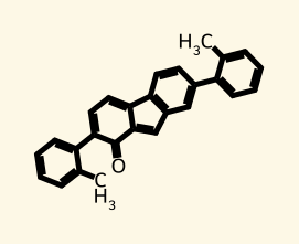 Cc1ccccc1C1=CC=C2C(=Cc3cc(-c4ccccc4C)ccc32)C1=O